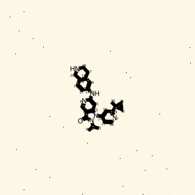 CC(C)n1c(=O)c2cnc(Nc3ccc4c(c3)CCNC4)cc2n1-c1ccnc(C2(C)CC2)c1